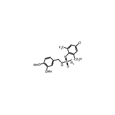 COc1ccc(CNS(C)(=O)=Nc2c(C(=O)O)cc(Cl)cc2C(F)(F)F)cc1OC